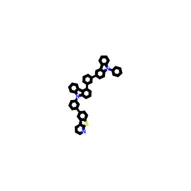 c1ccc(-n2c3ccccc3c3cc(-c4cccc(-c5cccc6c5c5ccccc5n6-c5cccc(-c6ccc7sc8ncccc8c7c6)c5)c4)ccc32)cc1